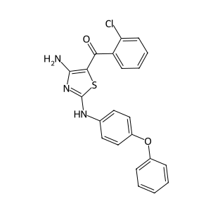 Nc1nc(Nc2ccc(Oc3ccccc3)cc2)sc1C(=O)c1ccccc1Cl